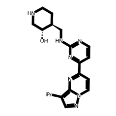 CC(C)c1cnn2ccc(-c3ccnc(NC[C@@H]4CCNC[C@H]4O)n3)nc12